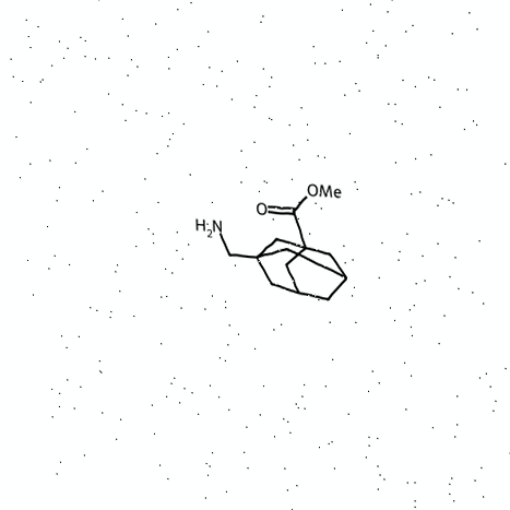 COC(=O)C12CC3CC(CC(CN)(C3)C1)C2